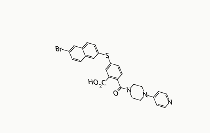 O=C(O)c1cc(Sc2ccc3cc(Br)ccc3c2)ccc1C(=O)N1CCN(c2ccncc2)CC1